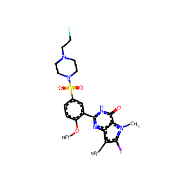 CCCOc1ccc(S(=O)(=O)N2CCN(CCF)CC2)cc1-c1nc2c(CCC)c(I)n(C)c2c(=O)[nH]1